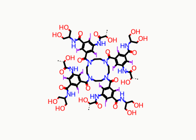 C[C@H](O)C(=O)Nc1c(I)c(C(=O)NC(CO)CO)c(I)c(C(=O)N2CCN(C(=O)c3c(I)c(NC(=O)[C@H](C)O)c(I)c(C(=O)NC(CO)CO)c3I)CCN(C(=O)c3c(I)c(NC(=O)[C@H](C)O)c(I)c(C(=O)NC(CO)CO)c3I)CCN(C(=O)c3c(I)c(NC(=O)[C@H](C)O)c(I)c(C(=O)NC(CO)CO)c3I)CC2)c1I